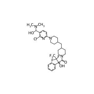 CN(C)C(O)c1ccc(N2CCC(CC3CCN(C(=O)[C@](O)(c4ccccc4)C(F)(F)C(F)(F)F)CC3)CC2)nc1Cl